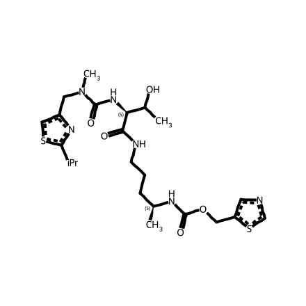 CC(C)c1nc(CN(C)C(=O)N[C@H](C(=O)NCCC[C@H](C)NC(=O)OCc2cncs2)C(C)O)cs1